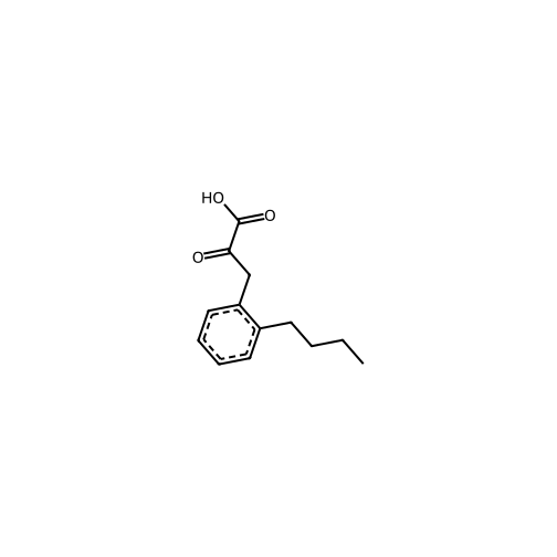 CCCCc1ccccc1CC(=O)C(=O)O